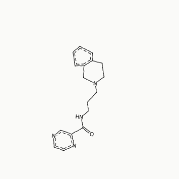 O=C(NCCCN1CCc2ccccc2C1)c1cnccn1